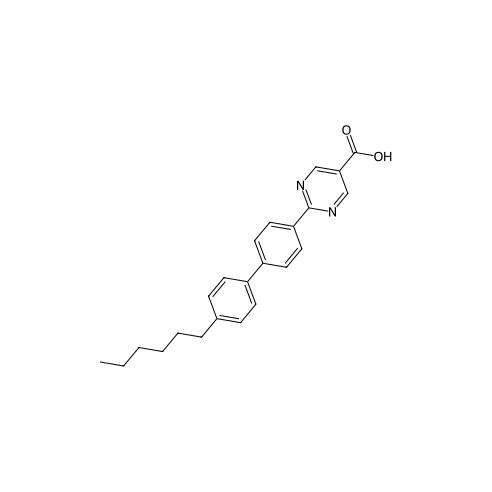 CCCCCCc1ccc(-c2ccc(-c3ncc(C(=O)O)cn3)cc2)cc1